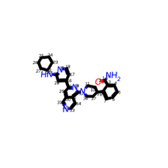 NC(=O)c1ccccc1C1CCN(c2nc(-c3ccnc(NC4CCCCC4)c3)cc3cnccc23)CC1